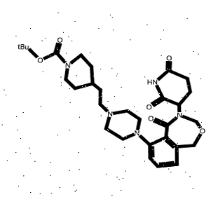 CC(C)(C)OC(=O)N1CCC(CCN2CCN(c3cccc4c3C(=O)N(C3CCC(=O)NC3=O)COC4)CC2)CC1